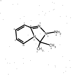 CC1(C)N(N)N=C2C=CC=CN21